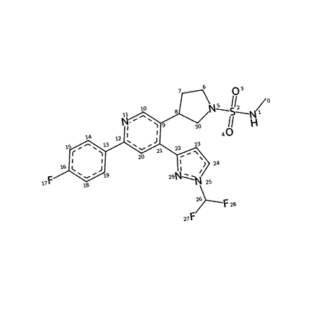 CNS(=O)(=O)N1CCC(c2cnc(-c3ccc(F)cc3)cc2-c2ccn(C(F)F)n2)C1